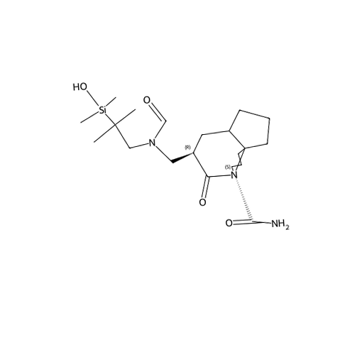 CC(C)(CN(C=O)C[C@H]1CC2CCCC23CC[C@@H](C(N)=O)N3C1=O)[Si](C)(C)O